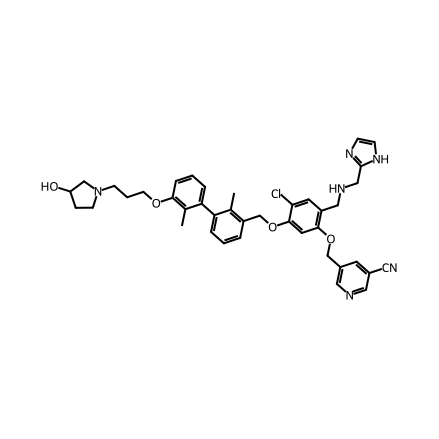 Cc1c(COc2cc(OCc3cncc(C#N)c3)c(CNCc3ncc[nH]3)cc2Cl)cccc1-c1cccc(OCCCN2CCC(O)C2)c1C